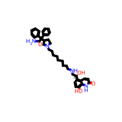 NC(=O)C(c1ccccc1)(c1ccccc1)C1CCN(CCCCCCCCCNC[C@@H](O)c2ccc(O)c3[nH]c(=O)ccc23)C1